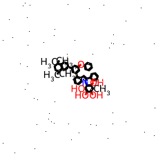 Cc1c(O)c(O)c(O)c(-n2c(-c3ccccc3)cc3c(-c4cc(Oc5ccccc5)cc(-c5ccc6c(c5)C(C)(C)CCC6(C)C)c4)cccc32)c1O